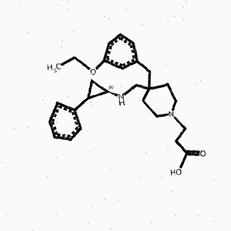 CCOc1cccc(CC2(CN[C@@H]3CC3c3ccccc3)CCN(CCC(=O)O)CC2)c1